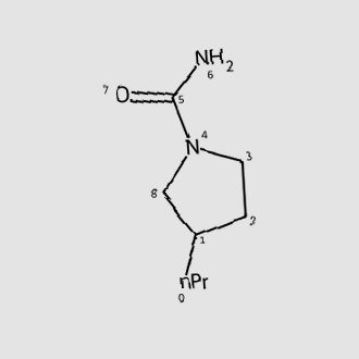 CCC[C]1CCN(C(N)=O)C1